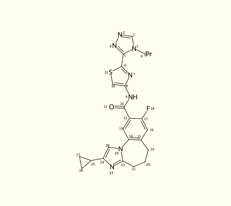 CC(C)n1cnnc1-c1nc(NC(=O)c2cc3c(cc2F)CCCc2nc(C4CC4)cn2-3)cs1